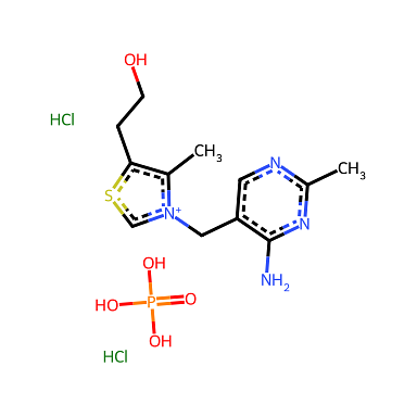 Cc1ncc(C[n+]2csc(CCO)c2C)c(N)n1.Cl.Cl.O=P(O)(O)O